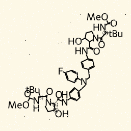 COC(=O)N[C@H](C(=O)N1CCC(O)C1C(=O)Nc1ccc(CN(Cc2ccc(NC(=O)[C@@H]3[C@@H](O)CCN3C(=O)[C@@H](NC(=O)OC)C(C)(C)C)cc2)c2ccc(F)cc2)cc1)C(C)(C)C